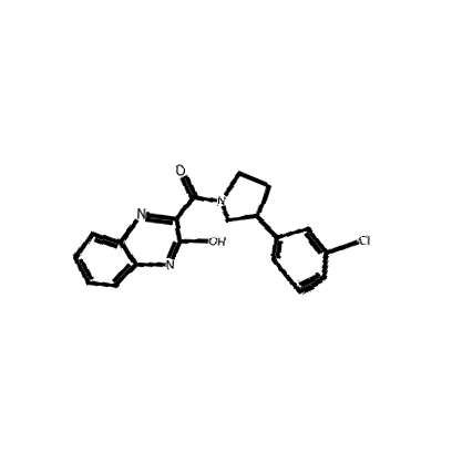 O=C(c1nc2ccccc2nc1O)N1CCC(c2cccc(Cl)c2)C1